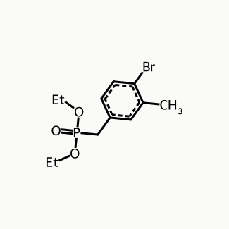 CCOP(=O)(Cc1ccc(Br)c(C)c1)OCC